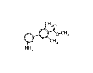 COC(=O)c1c(C)cc(-c2cccc(N)c2)cc1C